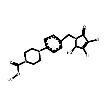 CC(C)(C)OC(=O)N1CCN(c2ccc(CN3C(=O)C(Cl)=C(Cl)C3O)cc2)CC1